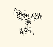 [2H][C@H]1[C@@H](F)[C@H](n2ccc(=O)[nH]c2=O)O[C@]1(CCl)COP(=O)(OCOC(=O)C(C)(C)C)OCOC(=O)C(C)(C)C